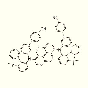 CC1(C)c2ccccc2-c2c(N(c3cccc(-c4ccc(C#N)cc4)c3)c3ccc4ccc5c(N(c6cccc(-c7ccc(C#N)cc7)c6)c6cccc7c6-c6ccccc6C7(C)C)ccc6ccc3c4c65)cccc21